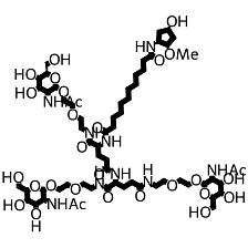 CO[C@@H]1C[C@@H](O)C[C@@H]1NC(=O)CCCCCCCCCCC(=O)NC(CCC(=O)NC(CCC(=O)NCCOCCOC1OC(CO)C(O)C(O)C1NC(C)=O)C(=O)NCCOCCOC1OC(CO)C(O)C(O)C1NC(C)=O)C(=O)NCCOCCOC1O[C@H](CO)C(O)C(O)C1NC(C)=O